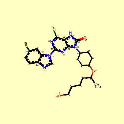 CC(CCCCO)OC1CCC(n2c(=O)[nH]c3c(Cl)nc(-n4cnc5ccc(F)cc54)nc32)CC1